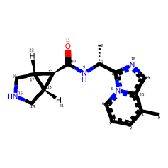 Cc1cccn2c([C@@H](C)NC(=O)[C@H]3[C@@H]4CNC[C@@H]43)ncc12